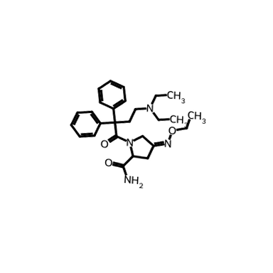 CCON=C1CC(C(N)=O)N(C(=O)C(CCN(CC)CC)(c2ccccc2)c2ccccc2)C1